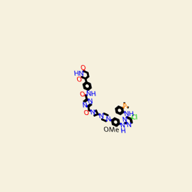 COc1cc(N2CCN(C3CN(C(=O)c4cnc(C(=O)Nc5ccc(C6CCC(=O)NC6=O)cc5)cn4)C3)CC2)ccc1Nc1ncc(Cl)c(Nc2ccccc2P(C)C)n1